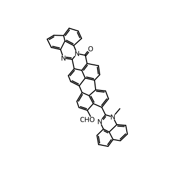 CN1C(c2ccc3c4ccc5c(=O)n6c7cccc8cccc(nc6c6ccc(c9ccc(C=O)c2c39)c4c56)c87)=Nc2cccc3cccc1c23